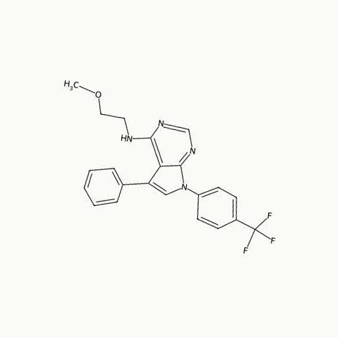 COCCNc1ncnc2c1c(-c1ccccc1)cn2-c1ccc(C(F)(F)F)cc1